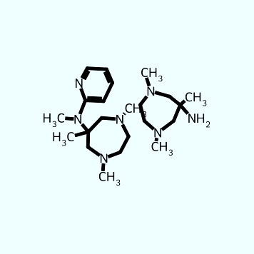 CN1CCN(C)CC(C)(N(C)c2ccccn2)C1.CN1CCN(C)CC(C)(N)C1